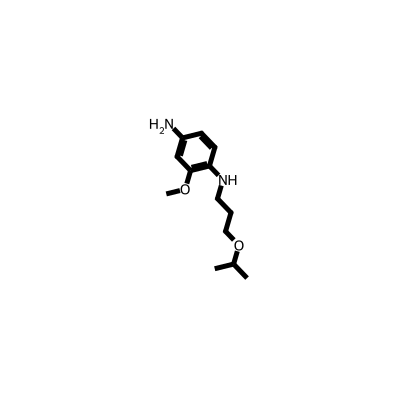 COc1cc(N)ccc1NCCCOC(C)C